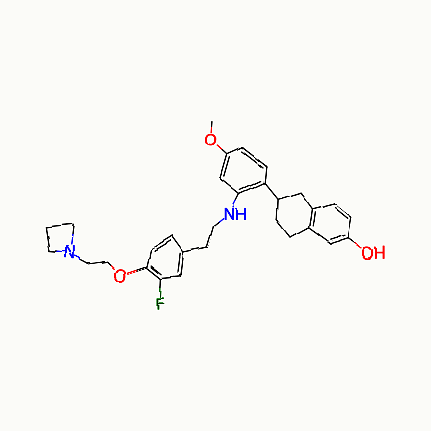 COc1ccc(C2CCc3cc(O)ccc3C2)c(NCCc2ccc(OCCN3CCC3)c(F)c2)c1